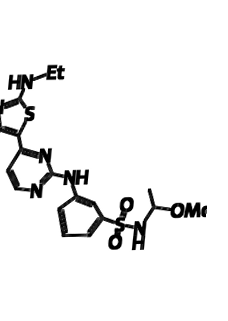 CCNc1nc(C)c(-c2ccnc(Nc3cccc(S(=O)(=O)NC(C)OC)c3)n2)s1